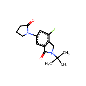 CC(C)(C)N1Cc2c(F)cc(N3CCCC3=O)cc2C1=O